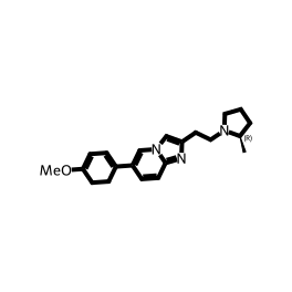 COC1=CC=C(c2ccc3nc(CCN4CCC[C@H]4C)cn3c2)CC1